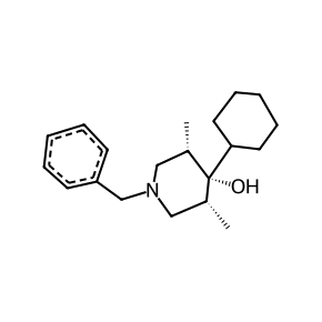 C[C@@H]1CN(Cc2ccccc2)C[C@H](C)[C@@]1(O)C1CCCCC1